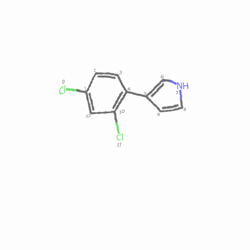 Clc1ccc(-c2[c][nH]cc2)c(Cl)c1